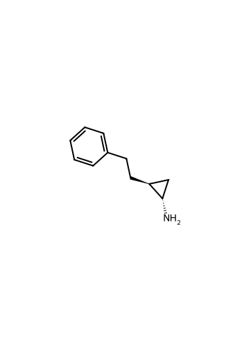 N[C@H]1C[C@@H]1CCc1ccccc1